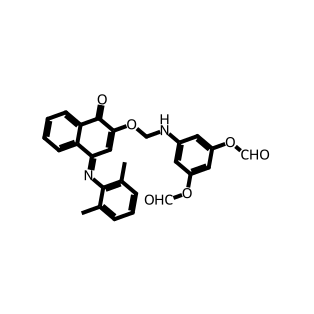 Cc1cccc(C)c1N=C1C=C(OCNc2cc(OC=O)cc(OC=O)c2)C(=O)c2ccccc21